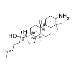 CC(C)=CCC[C@](C)(O)[C@H]1CC[C@@]2(C)[C@@H]1CC[C@@H]1[C@@]3(C)CCC(N)C(C)(C)C3CC[C@]12C